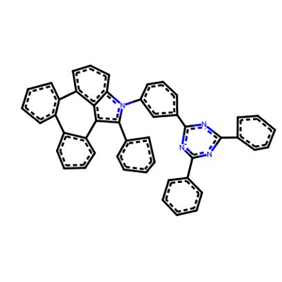 c1ccc(-c2nc(-c3ccccc3)nc(-c3cccc(-n4c(-c5ccccc5)c5c6c(cccc64)-c4ccccc4-c4ccccc4-5)c3)n2)cc1